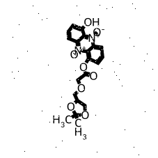 CC1(C)OCC(COCC(=O)Oc2cccc3c2[n+]([O-])c2cccc(O)c2[n+]3[O-])O1